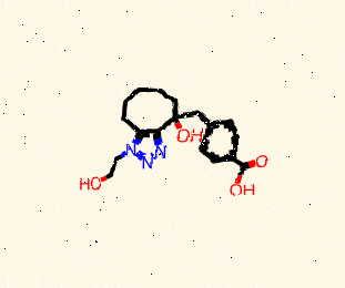 O=C(O)c1ccc(CC2(O)CCCCCc3c2nnn3CCO)cc1